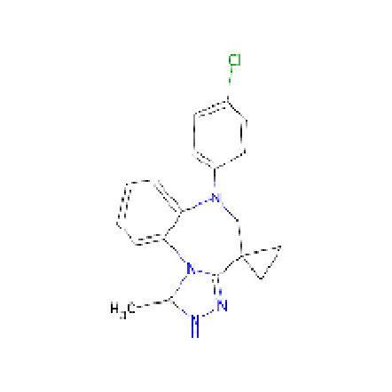 CC1NN=C2N1c1ccccc1N(c1ccc(Cl)cc1)CC21CC1